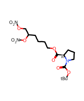 CC(C)(C)OC(=O)N1CCC[C@@H]1C(=O)OCCCCC(CO[N+](=O)[O-])O[N+](=O)[O-]